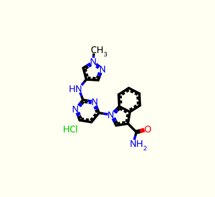 Cl.Cn1cc(Nc2nccc(-n3cc(C(N)=O)c4ccccc43)n2)cn1